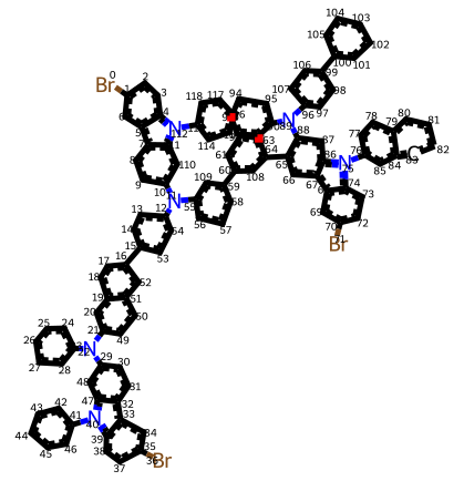 Brc1ccc2c(c1)c1ccc(N(c3ccc(-c4ccc5cc(N(c6ccccc6)c6ccc7c8cc(Br)ccc8n(-c8ccccc8)c7c6)ccc5c4)cc3)c3cccc(-c4cccc(-c5cc6c7cc(Br)ccc7n(-c7ccc8ccccc8c7)c6cc5N(c5ccccc5)c5ccc(-c6ccccc6)cc5)c4)c3)cc1n2-c1ccccc1